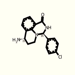 N[C@H]1CCN2c3c(cccc31)C(=O)N[C@H]2c1ccc(Cl)cc1